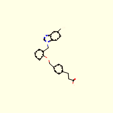 Bc1ccc2c(c1)ncn2Cc1ccccc1OCc1ccc(CCC(=O)O)cc1